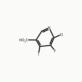 O=C(O)c1cnc(Cl)c(F)c1I